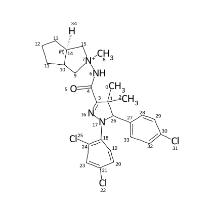 CC1(C)C(C(=O)N[N+]2(C)CC3CCC[C@H]3C2)=NN(c2ccc(Cl)cc2Cl)C1c1ccc(Cl)cc1